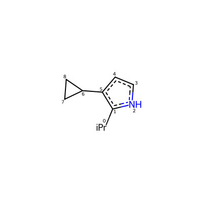 CC(C)c1[nH]ccc1C1CC1